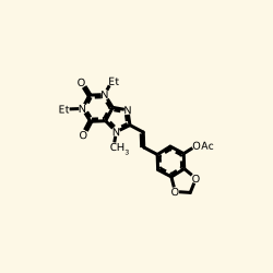 CCn1c(=O)c2c(nc(C=Cc3cc4c(c(OC(C)=O)c3)OCO4)n2C)n(CC)c1=O